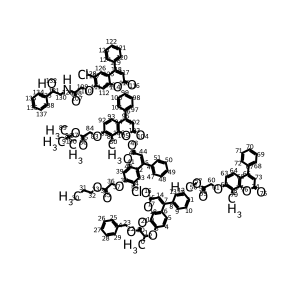 CC(Oc1ccc2c(-c3ccccc3)cc(=O)oc2c1)C(=O)OCc1ccccc1.CCCOC(=O)COc1cc2oc(=O)cc(-c3ccccc3)c2cc1Cl.COC(=O)COc1ccc2c(-c3ccccc3)cc(=O)oc2c1C.Cc1c(OCC(=O)OC(C)(C)C)ccc2c(-c3ccccc3)cc(=O)oc12.O=C(COc1cc2oc(=O)cc(-c3ccccc3)c2cc1Cl)NCC(O)c1ccccc1